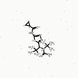 CC(C)(C)[C@@H](c1nnc(NC(=O)C2CC2)o1)N(C(=O)O)C(C)(C)C